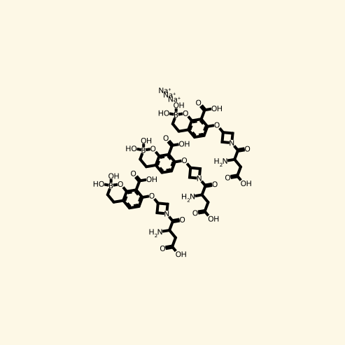 NC(CC(=O)O)C(=O)N1CC(Oc2ccc3c(c2C(=O)O)O[B-](O)(O)CC3)C1.NC(CC(=O)O)C(=O)N1CC(Oc2ccc3c(c2C(=O)O)O[B-](O)(O)CC3)C1.NC(CC(=O)O)C(=O)N1CC(Oc2ccc3c(c2C(=O)O)O[B-](O)(O)CC3)C1.[Na+].[Na+].[Na+]